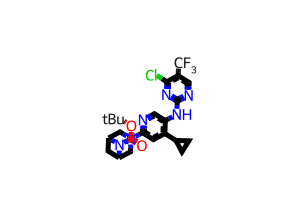 CC(C)(C)OC(=O)N1C2CC1CN(c1cc(C3CC3)c(Nc3ncc(C(F)(F)F)c(Cl)n3)cn1)C2